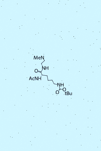 CNCCNC(=O)[C@H](CCCCNC(=O)OC(C)(C)C)NC(C)=O